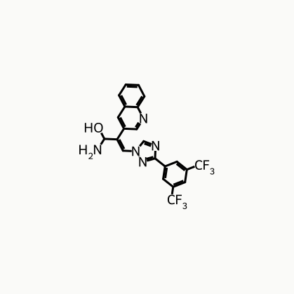 NC(O)/C(=C/n1cnc(-c2cc(C(F)(F)F)cc(C(F)(F)F)c2)n1)c1cnc2ccccc2c1